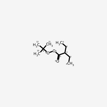 CCC(CC)C(=O)OOC(C)(C)C